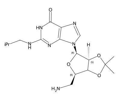 CC(C)CNc1nc2c(ncn2[C@@H]2O[C@H](CN)C3OC(C)(C)O[C@@H]32)c(=O)[nH]1